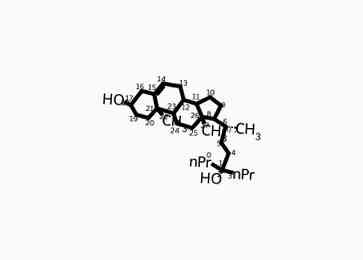 CCCC(O)(CCC)CC[C@@H](C)C1CCC2C3CC=C4CC(O)CCC4(C)C3CCC21C